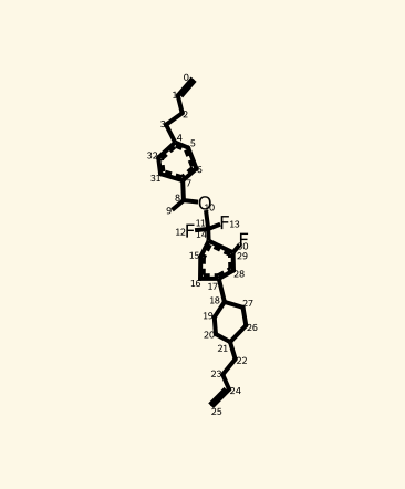 C=CCCc1ccc(C(C)OC(F)(F)c2ccc(C3CCC(CCC=C)CC3)cc2F)cc1